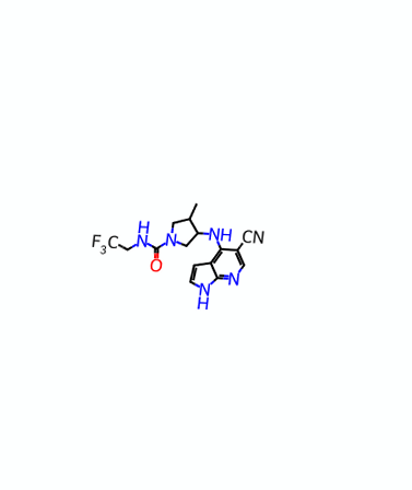 CC1CN(C(=O)NCC(F)(F)F)CC1Nc1c(C#N)cnc2[nH]ccc12